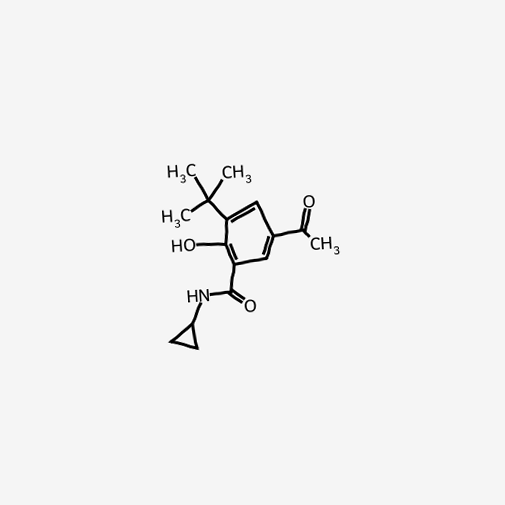 CC(=O)c1cc(C(=O)NC2CC2)c(O)c(C(C)(C)C)c1